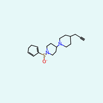 C#CCC1CCN(C2CCN([S+]([O-])C3=CCCC=C3)CC2)CC1